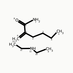 C=C(CCCC)C(N)=O.CCNCC